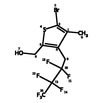 Cc1c(Br)sc(CO)c1CC(F)(F)C(F)(F)C(F)(F)F